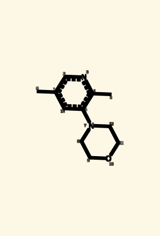 Cc1cnc(C)c(N2CCOCC2)c1